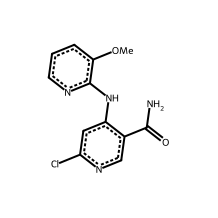 COc1cccnc1Nc1cc(Cl)ncc1C(N)=O